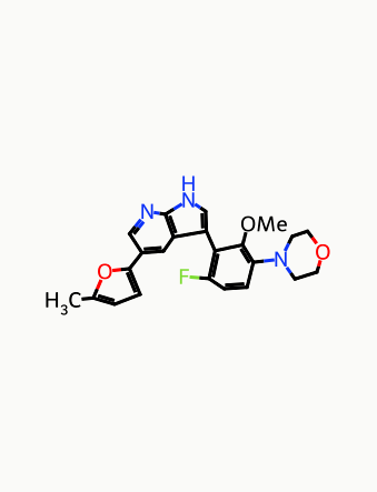 COc1c(N2CCOCC2)ccc(F)c1-c1c[nH]c2ncc(-c3ccc(C)o3)cc12